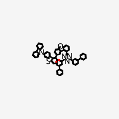 c1ccc(-c2cccc(-c3nc(-c4cccc(-c5ccccc5)c4)nc(-c4cccc5oc6ccc(-c7cccc8sc9cc(-n%10c%11ccccc%11c%11ccccc%11%10)ccc9c78)cc6c45)n3)c2)cc1